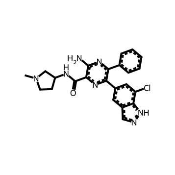 CN1CCC(NC(=O)c2nc(-c3cc(Cl)c4[nH]ncc4c3)c(-c3ccccc3)nc2N)C1